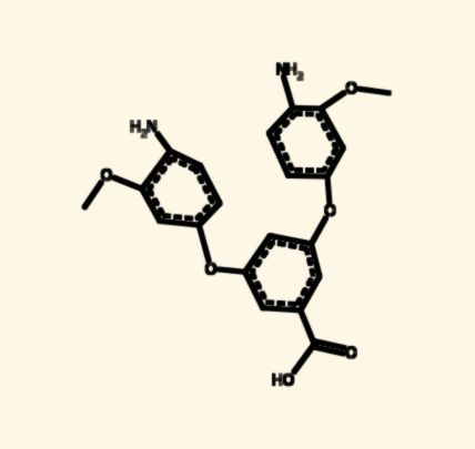 COc1cc(Oc2cc(Oc3ccc(N)c(OC)c3)cc(C(=O)O)c2)ccc1N